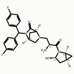 N#C[C@@H]1C[C@@H]2C[C@@H]2N1C(=O)[C@@H](N)CN1C[C@@H]2C[C@H]1C(=O)N2C(c1ccc(F)cc1)c1ccc(F)cc1